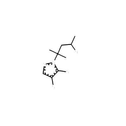 CC(N)CC(C)(C)n1ncc(N)c1N